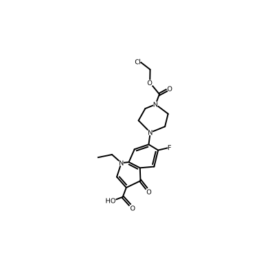 CCn1cc(C(=O)O)c(=O)c2cc(F)c(N3CCN(C(=O)OCCl)CC3)cc21